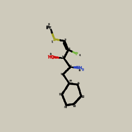 CC(C)S/C=C(/F)[C@H](O)[C@@H](N)CC1CCCCC1